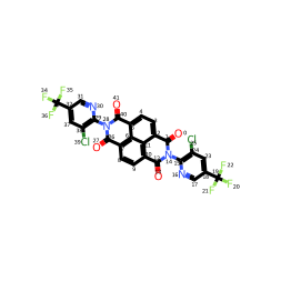 O=C1c2ccc3c4c(ccc(c24)C(=O)N1c1ncc(C(F)(F)F)cc1Cl)C(=O)N(c1ncc(C(F)(F)F)cc1Cl)C3=O